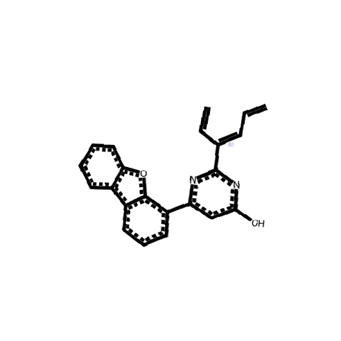 C=C/C=C(\C=C)c1nc(O)cc(-c2cccc3c2oc2ccccc23)n1